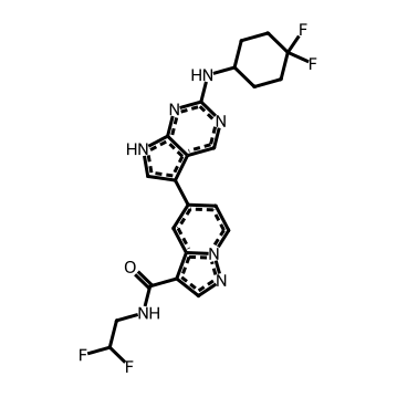 O=C(NCC(F)F)c1cnn2ccc(-c3c[nH]c4nc(NC5CCC(F)(F)CC5)ncc34)cc12